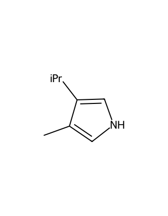 Cc1c[nH]cc1C(C)C